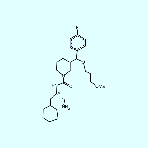 COCCCOC(c1ccc(F)cc1)C1CCCN(C(=O)N[C@H](CN)CC2CCCCC2)C1